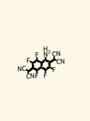 N#CC(C#N)=c1c(F)c(F)c2c(F)c(=C(C#N)C#N)c(F)c(F)c2c1N